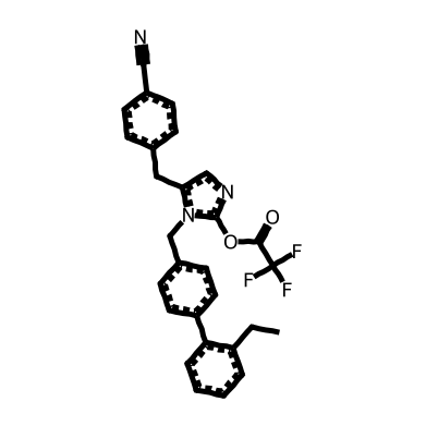 CCc1ccccc1-c1ccc(Cn2c(Cc3ccc(C#N)cc3)cnc2OC(=O)C(F)(F)F)cc1